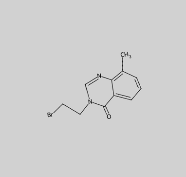 Cc1cccc2c(=O)n(CCBr)cnc12